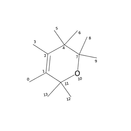 CC1=C(C)C(C)(C)C(C)(C)OC1(C)C